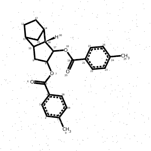 Cc1ccc(C(=O)OC2CC3C4CCC(C4)[C@@H]3C2OC(=O)c2ccc(C)cc2)cc1